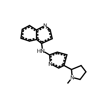 CN1CCCC1c1ccc(Nc2ccnc3ccccc23)nc1